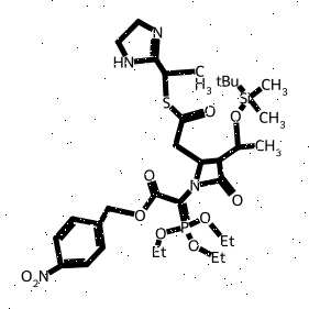 CCOP(OCC)(OCC)=C(C(=O)OCc1ccc([N+](=O)[O-])cc1)N1C(=O)C(C(C)O[Si](C)(C)C(C)(C)C)C1CC(=O)SC(C)C1=NCCN1